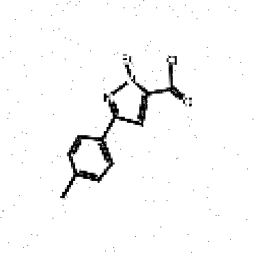 CCn1nc(-c2ccc(C)cc2)cc1C(=O)Cl